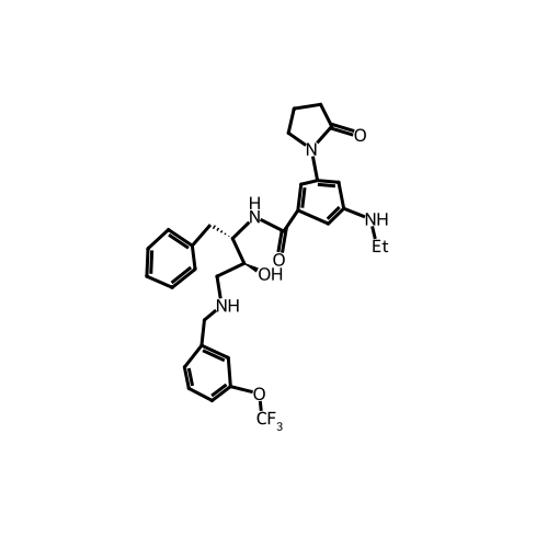 CCNc1cc(C(=O)N[C@@H](Cc2ccccc2)[C@@H](O)CNCc2cccc(OC(F)(F)F)c2)cc(N2CCCC2=O)c1